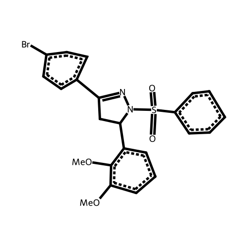 COc1cccc(C2CC(c3ccc(Br)cc3)=NN2S(=O)(=O)c2ccccc2)c1OC